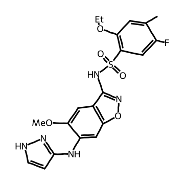 CCOc1cc(C)c(F)cc1S(=O)(=O)Nc1noc2cc(Nc3cc[nH]n3)c(OC)cc12